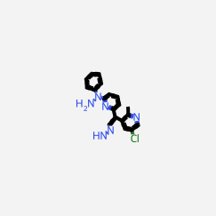 Cc1ncc(Cl)cc1/C(=C\N=N)c1cccc(N(N)c2ccccc2)n1